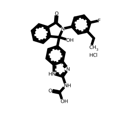 CCc1cc(N2C(=O)c3ccccc3C2(O)c2ccc3[nH]c(NC(=O)O)nc3c2)ccc1F.Cl